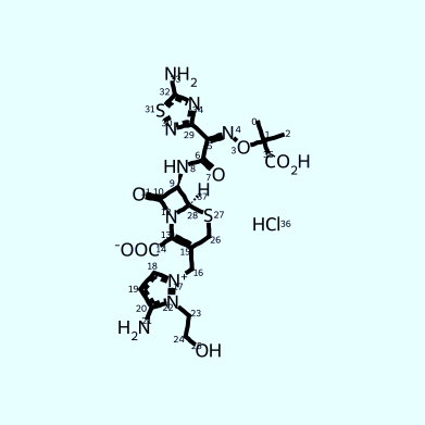 CC(C)(O/N=C(\C(=O)N[C@@H]1C(=O)N2C(C(=O)[O-])=C(C[n+]3ccc(N)n3CCO)CS[C@H]12)c1nsc(N)n1)C(=O)O.Cl